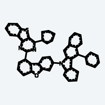 c1ccc(-c2nc(-c3cccc4oc5cc(-n6c7ccccc7c7c(-c8ccccc8)c8ccccc8cc76)ccc5c34)nc3c2sc2ccccc23)cc1